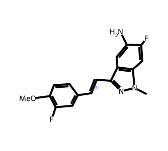 COc1ccc(/C=C/c2nn(C)c3cc(F)c(N)cc23)cc1F